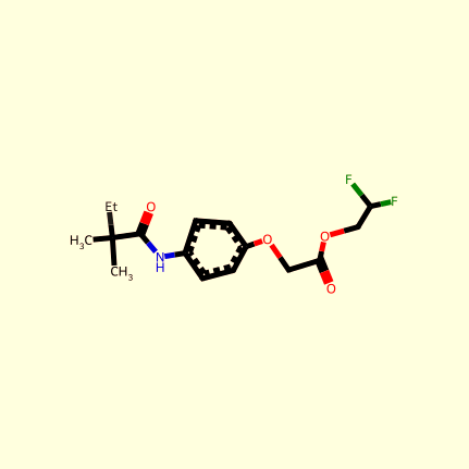 CCC(C)(C)C(=O)Nc1ccc(OCC(=O)OCC(F)F)cc1